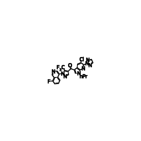 CCCn1cc(C(=O)c2cnn(-c3cncc4c(F)cccc34)c2C(F)(F)F)c2cc(Cl)c(-n3nccn3)nc21